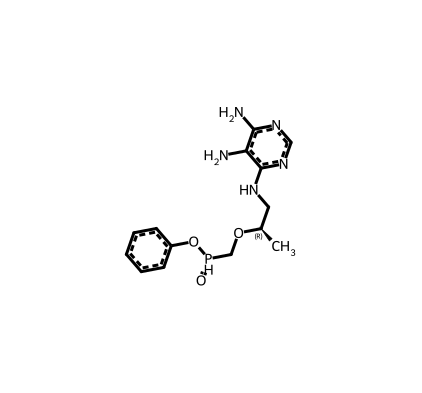 C[C@H](CNc1ncnc(N)c1N)OC[PH](=O)Oc1ccccc1